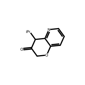 CC(C)C1C(=O)COc2cccnc21